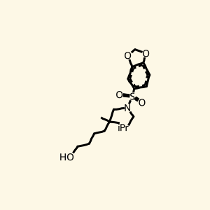 CC(C)CN(CC(C)(C)CCCCO)S(=O)(=O)c1ccc2c(c1)OCO2